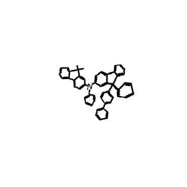 CC1(C)c2ccccc2-c2ccc(N(c3ccccc3)c3ccc4c(c3)C(c3ccccc3)(c3ccc(-c5ccccc5)cc3)c3ccccc3-4)cc21